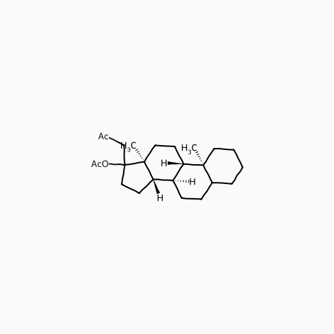 CC(=O)CC1(OC(C)=O)CC[C@H]2[C@@H]3CCC4CCCC[C@]4(C)[C@H]3CC[C@@]21C